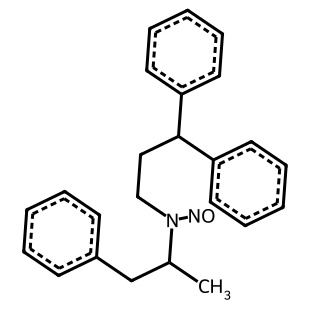 CC(Cc1ccccc1)N(CCC(c1ccccc1)c1ccccc1)N=O